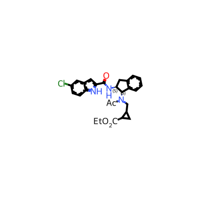 CCOC(=O)C1CC1CN(C(C)=O)[C@H]1c2ccccc2C[C@@H]1NC(=O)c1cc2cc(Cl)ccc2[nH]1